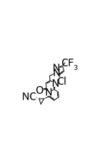 N#C[C@H]1C[C@@H]1c1cccc2nc(Cn3nc(C(F)(F)F)cc3Cl)cc(=O)n12